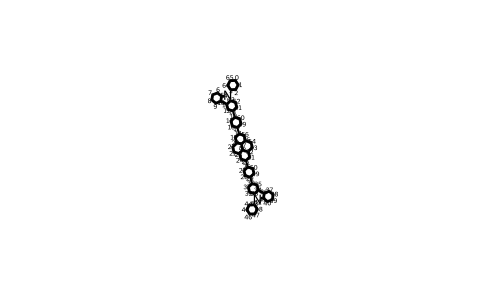 c1ccc(-n2c3ccccc3c3cc(-c4ccc(-c5cc6ccc7cc(-c8ccc(-c9ccc%10c(c9)c9ccccc9n%10-c9ccccc9)cc8)cc8ccc(c5)c6c78)cc4)ccc32)cc1